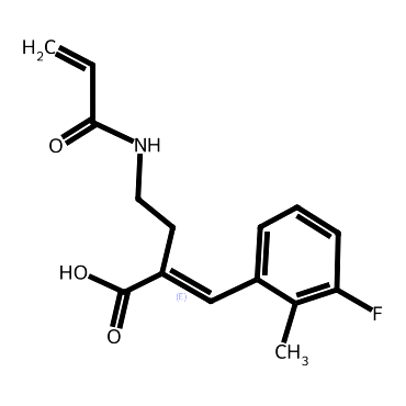 C=CC(=O)NCC/C(=C\c1cccc(F)c1C)C(=O)O